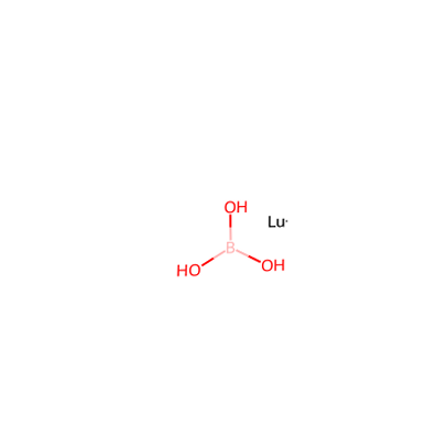 OB(O)O.[Lu]